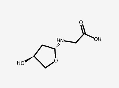 O=C(O)CN[C@H]1C[C@H](O)CO1